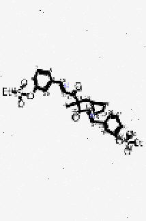 CCS(=O)(=O)Oc1cccc(/C=C/C(=O)C(C)(CC2CCC2)C(=O)/C=C/c2cccc(OS(=O)(=O)CC)c2)c1